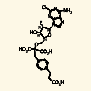 Nc1nc(Cl)nc2c1ncn2[C@@H]1O[C@H](COC(Cc2ccc(CCC(=O)O)cc2)(C(=O)O)C(=O)O)[C@@H](O)[C@@H]1F